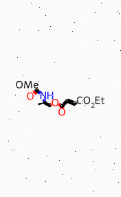 CCOC(=O)/C=C/C(=O)OC[C@@H](C)NC(=O)OC